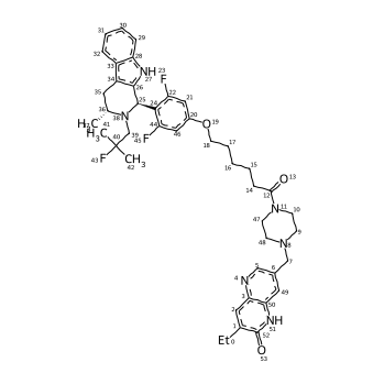 CCc1cc2ncc(CN3CCN(C(=O)CCCCCOc4cc(F)c([C@@H]5c6[nH]c7ccccc7c6C[C@@H](C)N5CC(C)(C)F)c(F)c4)CC3)cc2[nH]c1=O